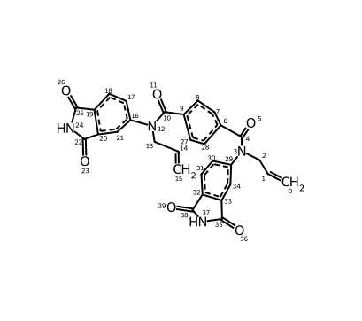 C=CCN(C(=O)c1ccc(C(=O)N(CC=C)c2ccc3c(c2)C(=O)NC3=O)cc1)c1ccc2c(c1)C(=O)NC2=O